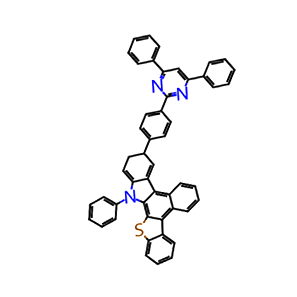 C1=c2c(n(-c3ccccc3)c3c4sc5ccccc5c4c4ccccc4c23)=CCC1c1ccc(-c2nc(-c3ccccc3)cc(-c3ccccc3)n2)cc1